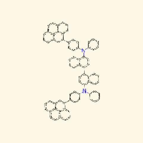 c1ccc(N(c2ccc(-c3cc4cccc5ccc6cccc3c6c54)cc2)c2ccc(-c3ccc(N(c4ccccc4)c4ccc(-c5cc6cccc7ccc8cccc5c8c76)cc4)c4ccccc34)c3ccccc23)cc1